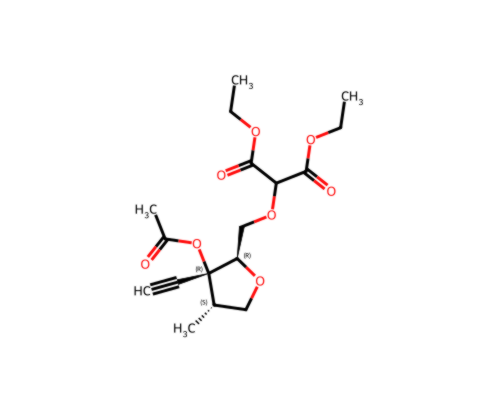 C#C[C@]1(OC(C)=O)[C@@H](C)CO[C@@H]1COC(C(=O)OCC)C(=O)OCC